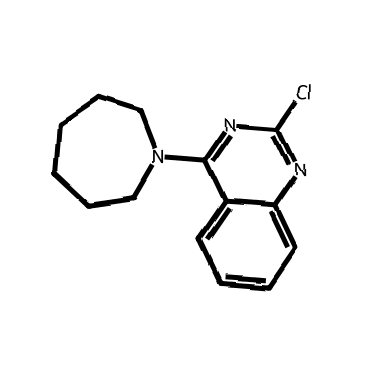 Clc1nc(N2CCCCCC2)c2ccccc2n1